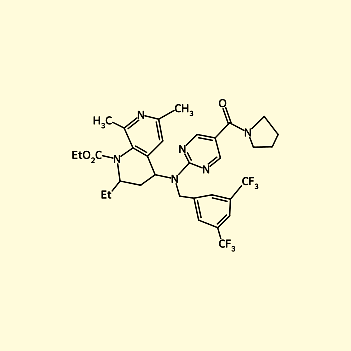 CCOC(=O)N1c2c(cc(C)nc2C)C(N(Cc2cc(C(F)(F)F)cc(C(F)(F)F)c2)c2ncc(C(=O)N3CCCC3)cn2)CC1CC